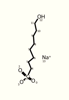 O=S(=O)([O-])CCCCCCCCO.[Na+]